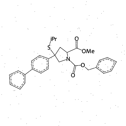 COC(=O)C1CC(SC(C)C)(c2ccc(-c3ccccc3)cc2)CN1C(=O)OCc1ccccc1